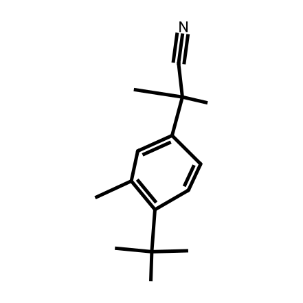 Cc1cc(C(C)(C)C#N)ccc1C(C)(C)C